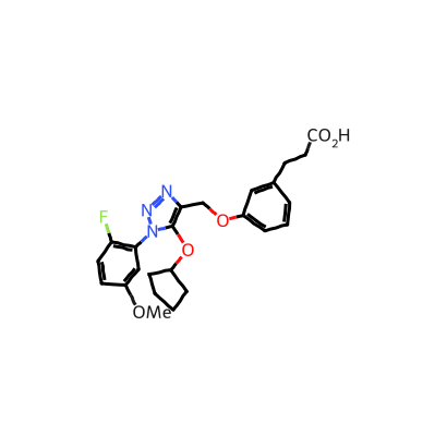 COc1ccc(F)c(-n2nnc(COc3cccc(CCC(=O)O)c3)c2OC2CCCC2)c1